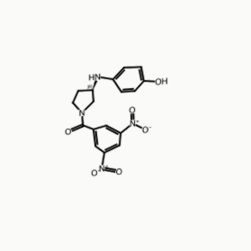 O=C(c1cc([N+](=O)[O-])cc([N+](=O)[O-])c1)N1CC[C@@H](Nc2ccc(O)cc2)C1